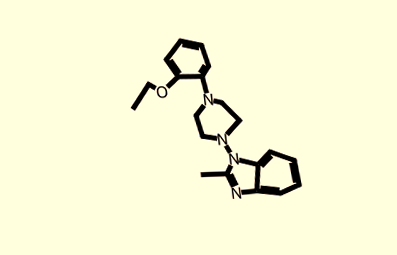 CCOc1ccccc1N1CCN(n2c(C)nc3ccccc32)CC1